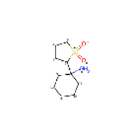 NC1(C2CCCS2(=O)=O)CCCCC1